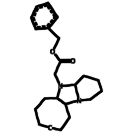 O=C(CN1C2CCCCCCC2N2CCCCC21)OCc1ccccc1